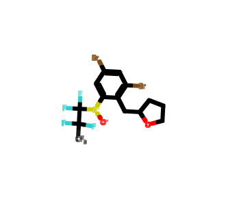 [O-][S+](c1cc(Br)[c]c(Br)c1CC1CCCO1)C(F)(F)C(F)(F)C(F)(F)F